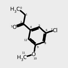 CCC(=O)c1cc(Cl)cc(OC)c1